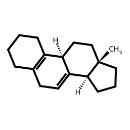 C[C@@]12CCC[C@H]1C1=CCC3=C(CCCC3)[C@H]1CC2